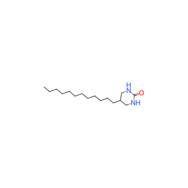 CCCCCCCCCCCCC1CNC(=O)NC1